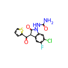 NC(=O)NN1C(=O)C(C(=O)c2cccs2)c2cc(F)c(Cl)cc21